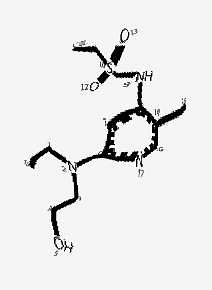 CCN(CCO)c1cc(NS(C)(=O)=O)c(C)cn1